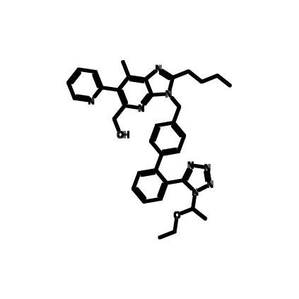 CCCCc1nc2c(C)c(-c3ccccn3)c(CO)nc2n1Cc1ccc(-c2ccccc2-c2nnnn2C(C)OCC)cc1